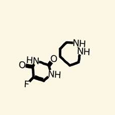 C1CCNNCC1.O=c1[nH]cc(F)c(=O)[nH]1